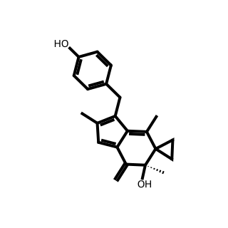 C=C1C2=CC(C)=C(Cc3ccc(O)cc3)C2=C(C)C2(CC2)[C@@]1(C)O